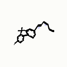 C=C/C=C\C=C\c1ccc2c(c1)C(C)(C)c1cc(I)ccc1-2